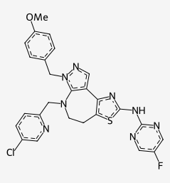 COc1ccc(Cn2ncc3c2N(Cc2ccc(Cl)cn2)CCc2sc(Nc4ncc(F)cn4)nc2-3)cc1